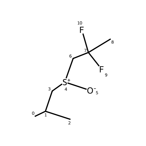 CC(C)C[S+]([O-])CC(C)(F)F